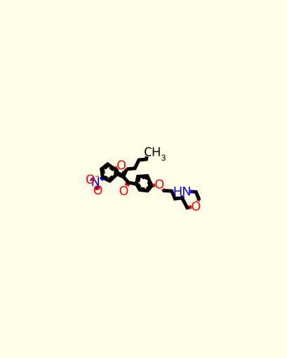 CCCCc1oc2ccc([N+](=O)[O-])cc2c1C(=O)c1ccc(OCCCC2COCCN2)cc1